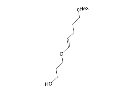 CCCCCCCCCC=COCCCO